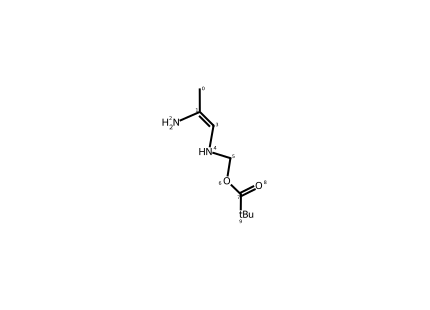 C/C(N)=C/NCOC(=O)C(C)(C)C